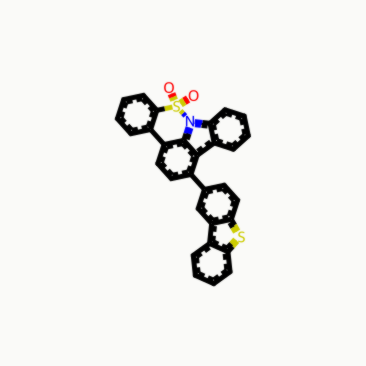 O=S1(=O)c2ccccc2-c2ccc(-c3ccc4sc5ccccc5c4c3)c3c4ccccc4n1c23